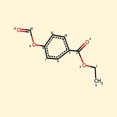 CCOC(=O)c1ccc(O[C]=O)cc1